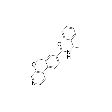 CC(NC(=O)c1ccc2c(c1)COc1cnccc1-2)c1ccccc1